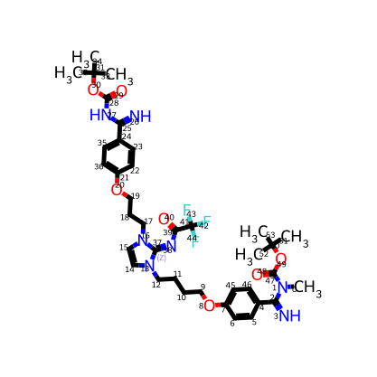 CN(C(=N)c1ccc(OCCCCn2ccn(CCCOc3ccc(C(=N)NC(=O)OC(C)(C)C)cc3)/c2=N\C(=O)C(F)(F)F)cc1)C(=O)OC(C)(C)C